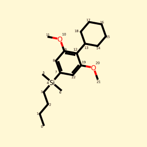 CCCC[Si](C)(C)c1cc(OC)c(C2CCCCC2)c(OC)c1